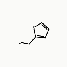 [O]Cc1cccs1